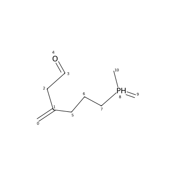 C=C(CC=O)CCC[PH](=C)C